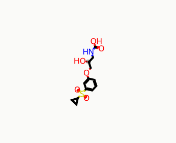 O=C(O)NC[C@H](O)COc1cccc(S(=O)(=O)C2CC2)c1